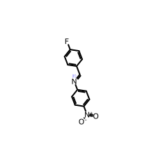 O=[N+]([O-])c1ccc(/N=C/c2ccc(F)cc2)cc1